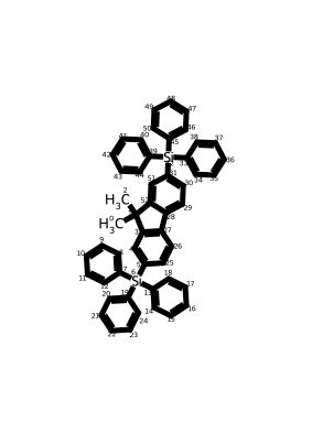 CC1(C)c2cc([Si](c3ccccc3)(c3ccccc3)c3ccccc3)ccc2-c2ccc([Si](c3ccccc3)(c3ccccc3)c3ccccc3)cc21